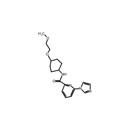 COCCOC1CCC(NC(=O)c2cccc(-n3ccnc3)n2)CC1